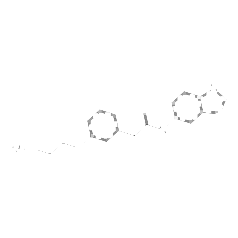 COCCOc1cccc(CC(=O)Nc2ccc3ncsc3c2)c1